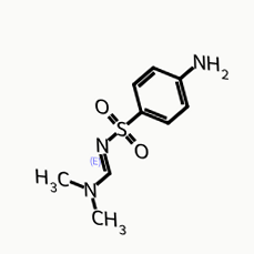 CN(C)/C=N/S(=O)(=O)c1ccc(N)cc1